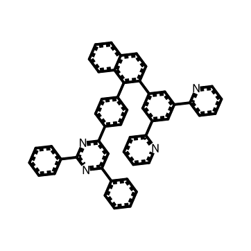 c1ccc(-c2cc(-c3ccc(-c4c(-c5cc(-c6ccccn6)cc(-c6ccccn6)c5)ccc5ccccc45)cc3)nc(-c3ccccc3)n2)cc1